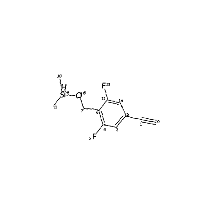 C#Cc1cc(F)c(CO[SiH](C)C)c(F)c1